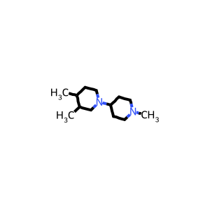 CC1CCN(C2CCN(C)CC2)CC1C